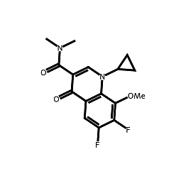 COc1c(F)c(F)cc2c(=O)c(C(=O)N(C)C)cn(C3CC3)c12